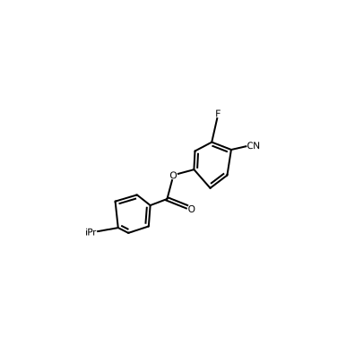 CC(C)c1ccc(C(=O)Oc2ccc(C#N)c(F)c2)cc1